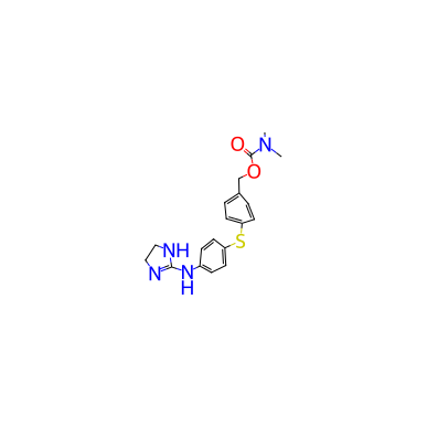 CN(C)C(=O)OCc1ccc(Sc2ccc(NC3=NCCN3)cc2)cc1